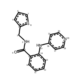 O=C(NCc1cccs1)c1ccccc1Nc1ccncc1